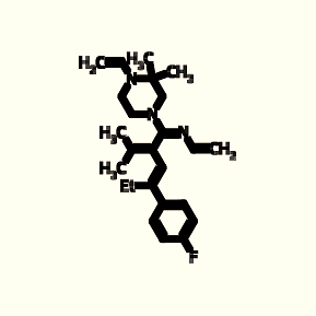 C=C/N=C(\C(/C=C(\CC)c1ccc(F)cc1)=C(C)C)N1CCN(C=C)C(C)(C)C1